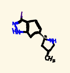 CC1CN[C@@H](c2ccc3c(I)n[nH]c3c2)C1